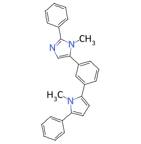 Cn1c(-c2ccccc2)ccc1-c1cccc(-c2cnc(-c3ccccc3)n2C)c1